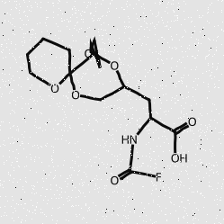 O=C(F)NC(CC1COC2(CCCCO2)C2(CCCCO2)O1)C(=O)O